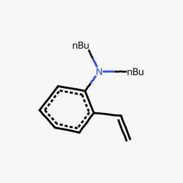 C=Cc1ccccc1N(CCCC)CCCC